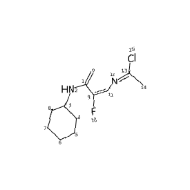 C=C(NC1CCCCC1)/C(F)=C\N=C(/C)Cl